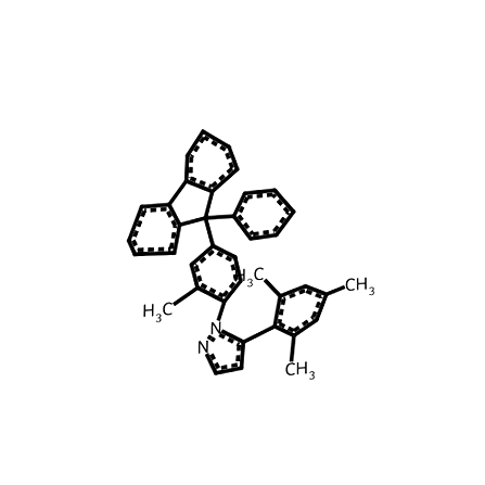 Cc1cc(C)c(-c2ccnn2-c2ccc(C3(c4ccccc4)c4ccccc4-c4ccccc43)cc2C)c(C)c1